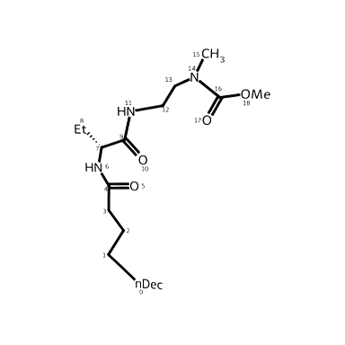 CCCCCCCCCCCCCC(=O)N[C@H](CC)C(=O)NCCN(C)C(=O)OC